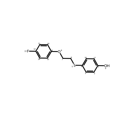 Oc1ccc(SCCOc2ccc(F)cc2)cc1